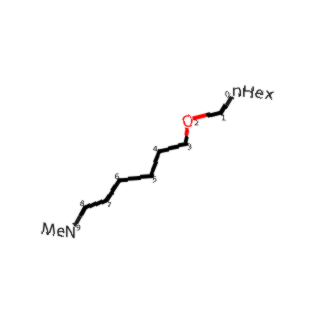 CCCCCCCOCCCCCCNC